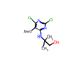 COc1c(Cl)nc(Cl)nc1NC(C)(C)CO